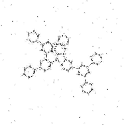 c1ccc(-c2nc(-c3ccccc3)nc(-c3ccc4c(c3)c3ccccc3n4-c3ccc(-c4ccncc4)cc3-c3nc(-c4ccccc4)nc(-c4ccccc4)n3)n2)cc1